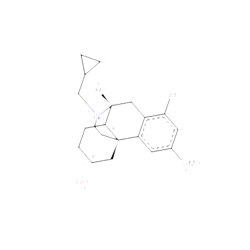 CCc1cc(OC)cc2c1C[C@@H]1[C@@H]3CC[C@@H](O)C[C@]23CCN1CC1CC1